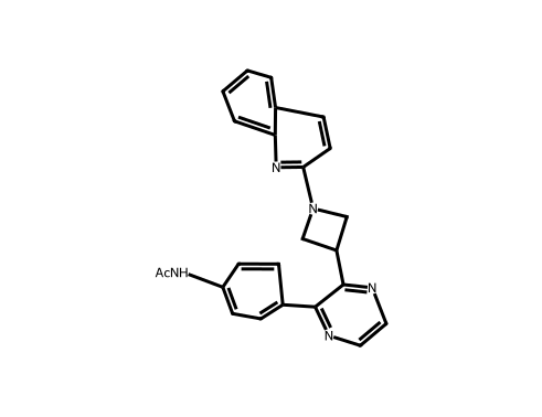 CC(=O)Nc1ccc(-c2nccnc2C2CN(c3ccc4ccccc4n3)C2)cc1